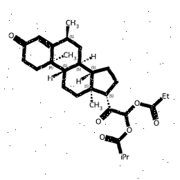 CCC(=O)OC(OC(=O)C(C)C)C(=O)[C@H]1CC[C@H]2[C@@H]3C[C@H](C)C4=CC(=O)CC[C@]4(C)[C@H]3CC[C@]12C